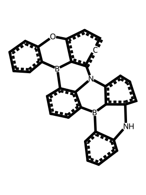 c1ccc2c(c1)Nc1cccc3c1B2c1cccc2c1N3c1cccc3c1B2c1ccccc1O3